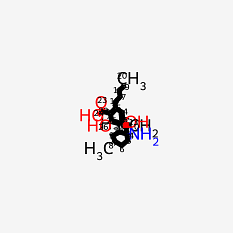 C=C(C)[C@]1(N)CCC(C)C[C@H]1c1c(O)cc(CCCCC)c(C(=O)O)c1O